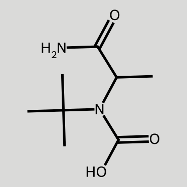 CC(C(N)=O)N(C(=O)O)C(C)(C)C